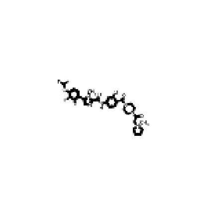 Cn1c(-c2ccc(OC(F)F)c(F)c2F)cnc1C(=O)Nc1ccc(C(=O)N2CCN(C(=O)C[N+]3(C)CCCC3)CC2)c(Cl)c1